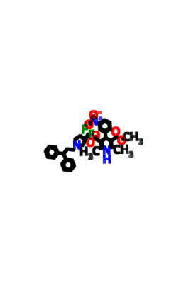 COC(=O)C1=C(C)NC(C)=C(C(=O)OC2(C(F)F)CCN(CCC(c3ccccc3)c3ccccc3)C2)C1c1cccc([N+](=O)[O-])c1